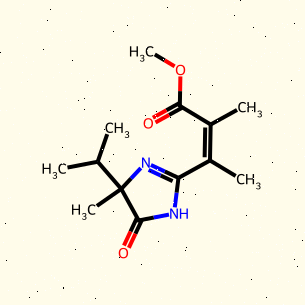 COC(=O)C(C)=C(C)C1=NC(C)(C(C)C)C(=O)N1